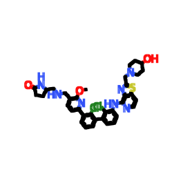 COc1nc(-c2cccc(-c3cccc(Nc4nccc5sc(CN6CCC(O)CC6)nc45)c3Cl)c2Cl)ccc1CNCC1CCC(=O)N1